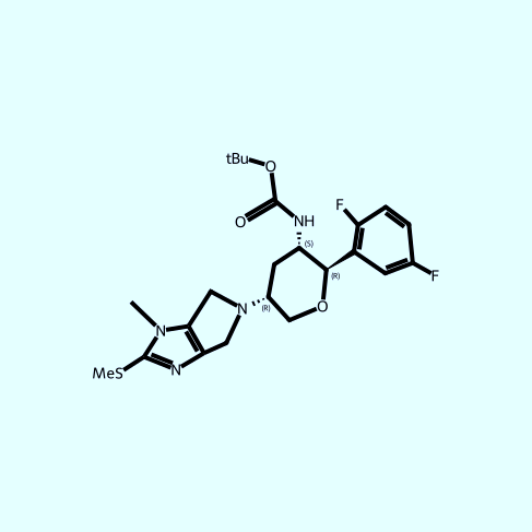 CSc1nc2c(n1C)CN([C@H]1CO[C@H](c3cc(F)ccc3F)[C@@H](NC(=O)OC(C)(C)C)C1)C2